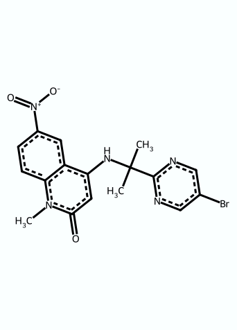 Cn1c(=O)cc(NC(C)(C)c2ncc(Br)cn2)c2cc([N+](=O)[O-])ccc21